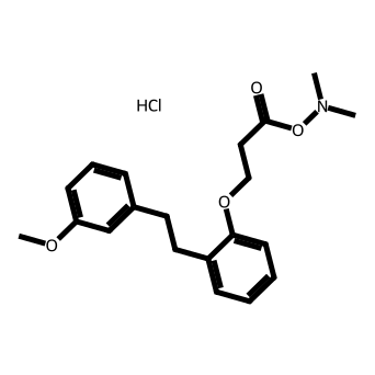 COc1cccc(CCc2ccccc2OCCC(=O)ON(C)C)c1.Cl